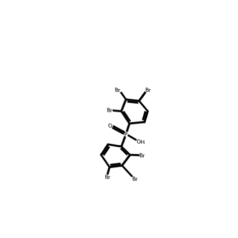 O=P(O)(c1ccc(Br)c(Br)c1Br)c1ccc(Br)c(Br)c1Br